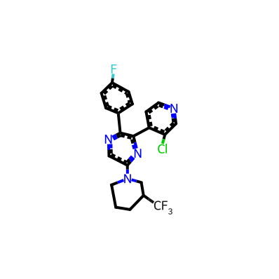 Fc1ccc(-c2ncc(N3CCCC(C(F)(F)F)C3)nc2-c2ccncc2Cl)cc1